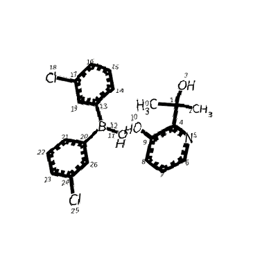 CC(C)(O)c1ncccc1O.OB(c1cccc(Cl)c1)c1cccc(Cl)c1